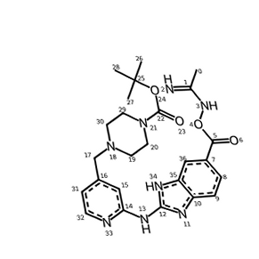 CC(=N)NOC(=O)c1ccc2nc(Nc3cc(CN4CCN(C(=O)OC(C)(C)C)CC4)ccn3)[nH]c2c1